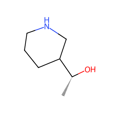 C[C@@H](O)C1CCCNC1